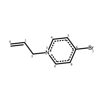 C=CC[n+]1ccc(Br)cc1